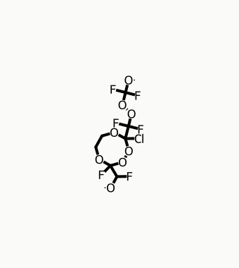 [O]C(F)C1(F)OCCOC(Cl)(C(F)(F)OOC([O])(F)F)OO1